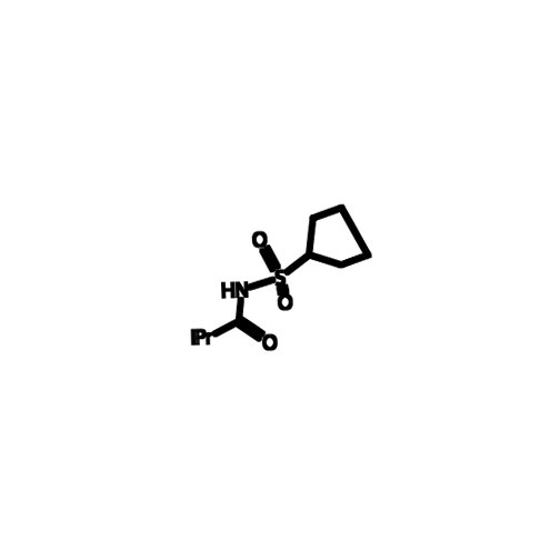 CC(C)C(=O)NS(=O)(=O)C1CCCC1